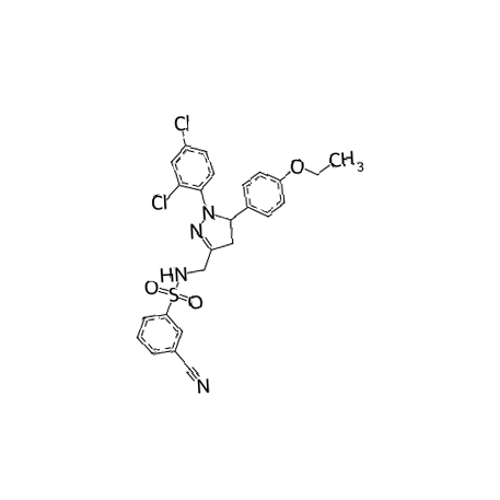 CCOc1ccc(C2CC(CNS(=O)(=O)c3cccc(C#N)c3)=NN2c2ccc(Cl)cc2Cl)cc1